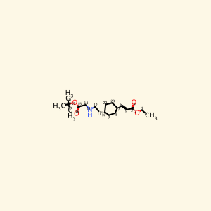 CCOC(=O)/C=C/[C@H]1CC[C@H](CCNCC(=O)OC(C)(C)C)CC1